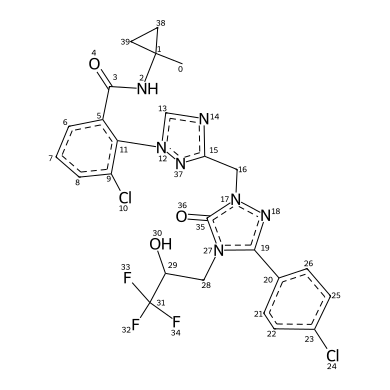 CC1(NC(=O)c2cccc(Cl)c2-n2cnc(Cn3nc(-c4ccc(Cl)cc4)n(CC(O)C(F)(F)F)c3=O)n2)CC1